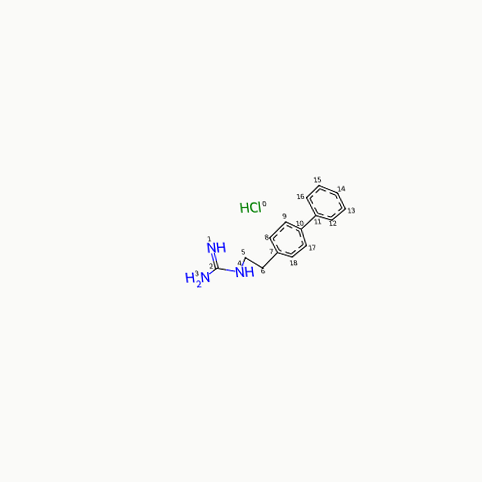 Cl.N=C(N)NCCc1ccc(-c2ccccc2)cc1